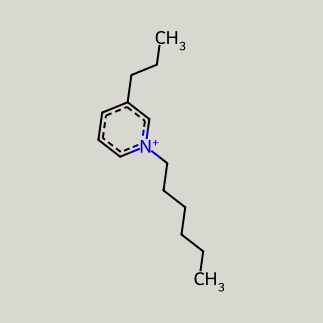 CCCCCC[n+]1cccc(CCC)c1